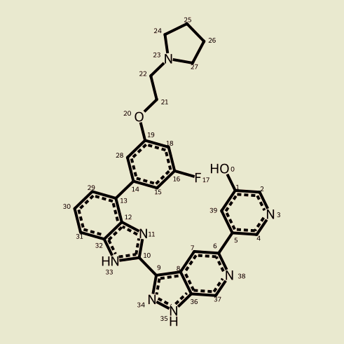 Oc1cncc(-c2cc3c(-c4nc5c(-c6cc(F)cc(OCCN7CCCC7)c6)cccc5[nH]4)n[nH]c3cn2)c1